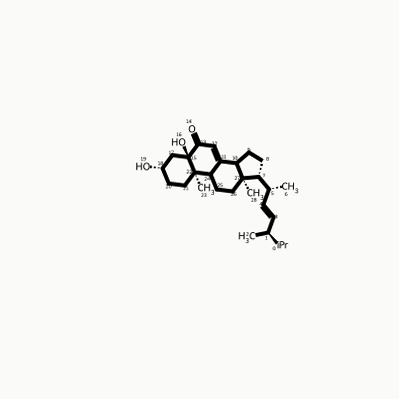 CC(C)[C@@H](C)/C=C/[C@@H](C)[C@H]1CCC2C3=CC(=O)[C@@]4(O)C[C@@H](O)CC[C@]4(C)C3CC[C@@]21C